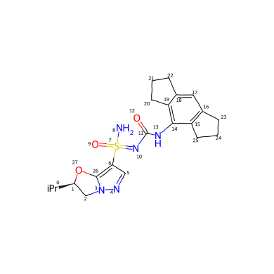 CC(C)[C@@H]1Cn2ncc(S(N)(=O)=NC(=O)Nc3c4c(cc5c3CCC5)CCC4)c2O1